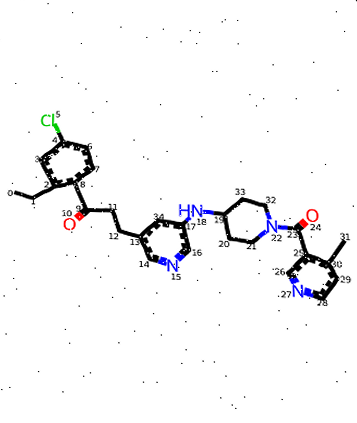 CCc1cc(Cl)ccc1C(=O)CCc1cncc(NC2CCN(C(=O)c3cnccc3C)CC2)c1